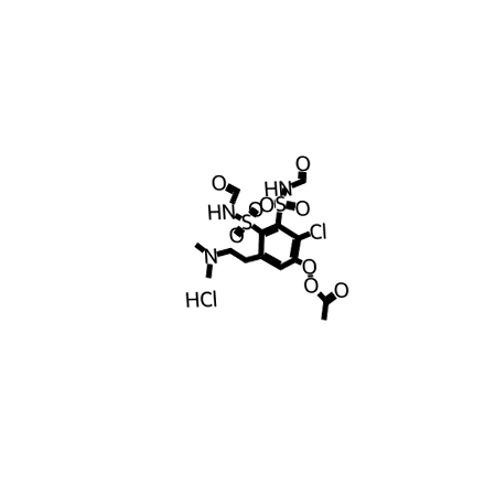 CC(=O)OOc1cc(CCN(C)C)c(S(=O)(=O)NC=O)c(S(=O)(=O)NC=O)c1Cl.Cl